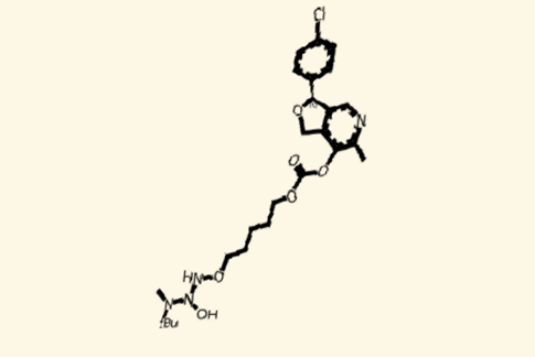 Cc1ncc2c(c1OC(=O)OCCCCCONN(O)N(C)C(C)(C)C)CO[C@H]2c1ccc(Cl)cc1